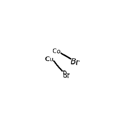 [Co][Br].[Cu][Br]